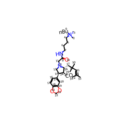 CCCC[N+](C)(C)CCCCNC(=O)CN1C[C@H](c2ccc3c(c2)OCO3)[C@H](C(=O)O)[C@H]1CC(C)(C)C=C(C)C